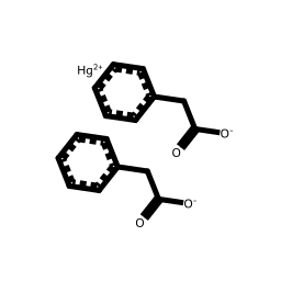 O=C([O-])Cc1ccccc1.O=C([O-])Cc1ccccc1.[Hg+2]